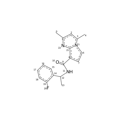 Cc1cc(C)n2ccc(C(=O)NC(C)c3ccccc3F)c2n1